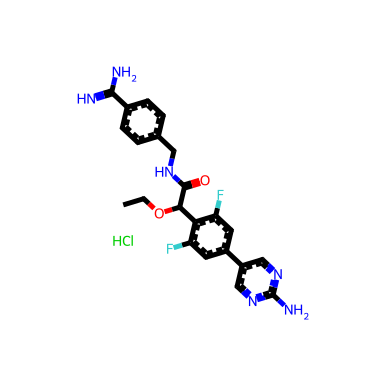 CCOC(C(=O)NCc1ccc(C(=N)N)cc1)c1c(F)cc(-c2cnc(N)nc2)cc1F.Cl